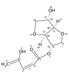 C=C(O)/C=C\C(=O)O[C@H]1CO[C@H]2[C@@H]1OC[C@@H]2O